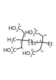 CCC(C)(CC(=O)O)CC(=O)O.CCC(CC)(CC(=O)O)CC(=O)O